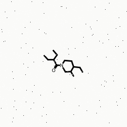 CCC(CC)C(=O)N1CCC(CC)C(C)C1